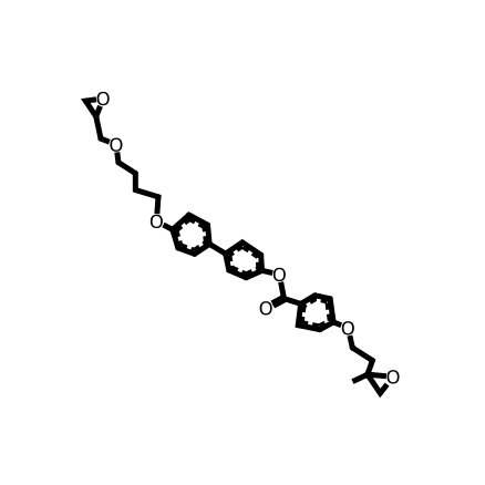 CC1(CCOc2ccc(C(=O)Oc3ccc(-c4ccc(OCCCCOCC5CO5)cc4)cc3)cc2)CO1